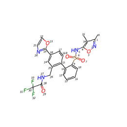 Cc1noc(NS(=O)(=O)c2ccccc2-c2ccc(-c3ncco3)cc2CNC(=O)C(F)(F)F)c1C